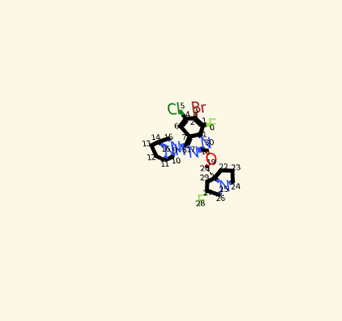 Fc1c(Br)c(Cl)cc2c(N3CC4CCC(C3)N4)nc(OC[C@]34CCCN3C[C@@H](F)C4)nc12